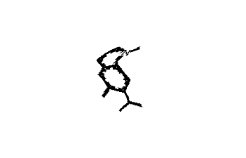 Cc1cc2ccn(C)c2cc1C(C)C